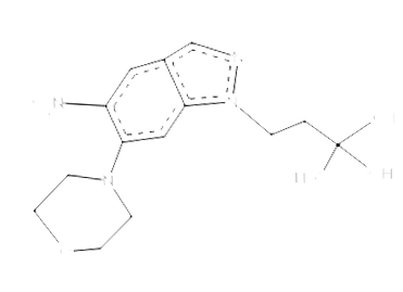 CC(C)(O)CCn1ncc2cc([N+](=O)[O-])c(N3CCOCC3)cc21